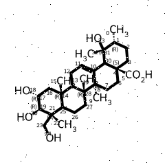 C[C@@H]1CC[C@]2(C(=O)O)CC[C@]3(C)C(=CCC4[C@@]5(C)C[C@@H](O)[C@H](O)[C@@](C)(CO)C5CC[C@]43C)C2[C@]1(C)O